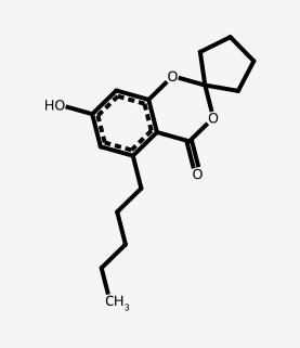 CCCCCc1cc(O)cc2c1C(=O)OC1(CCCC1)O2